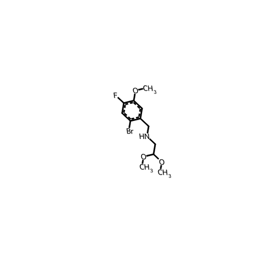 COc1cc(CNCC(OC)OC)c(Br)cc1F